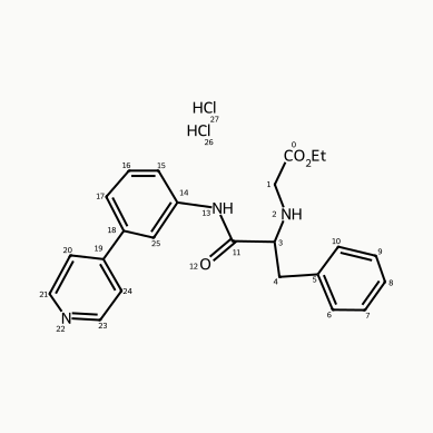 CCOC(=O)CNC(Cc1ccccc1)C(=O)Nc1cccc(-c2ccncc2)c1.Cl.Cl